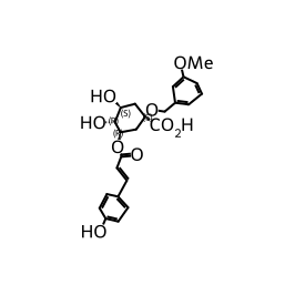 COc1cccc(CO[C@@]2(C(=O)O)C[C@H](O)[C@@H](O)[C@H](OC(=O)C=Cc3ccc(O)cc3)C2)c1